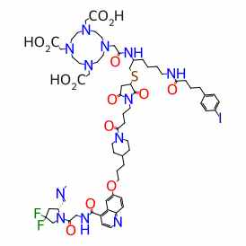 C/N=C/[C@H]1CC(F)(F)CN1C(=O)CNC(=O)c1ccnc2ccc(OCCCC3CCN(C(=O)CCCN4C(=O)CC(SCC(CCCCNC(=O)CCCc5ccc(I)cc5)NC(=O)CN5CCN(CC(=O)O)CCN(CC(=O)O)CCN(CC(=O)O)CC5)C4=O)CC3)cc12